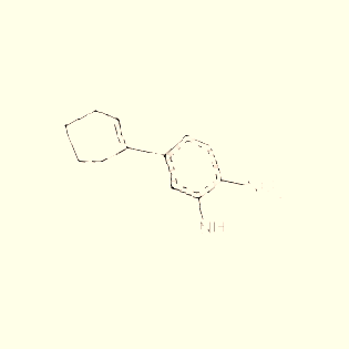 Nc1cc(C2=CCCCC2)ccc1[N+](=O)[O-]